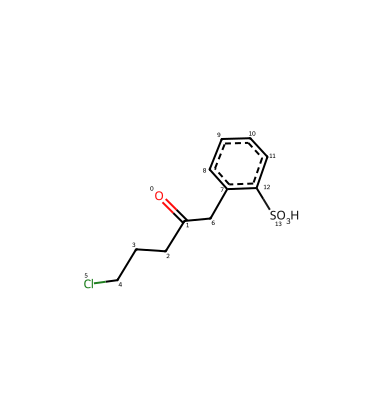 O=C(CCCCl)Cc1ccccc1S(=O)(=O)O